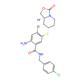 Nc1cc(Br)c(S[C@H]2CCN3C(=O)OC[C@@H]3C2)cc1C(=O)NCc1ccc(Cl)cc1